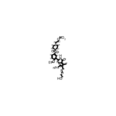 CCCc1c(/C=N/OCCO)c(C)c2c(=O)[nH]c(-c3cc(S(=O)(=O)N4CCN(CCO[N+](=O)[O-])CC4)ccc3OCC)nn12